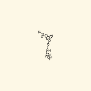 CN(C)CCOC(=O)c1ccc2c(c1)nc(OCCOCCCCNCc1cc(F)c(OC(F)(F)F)c(F)c1)c1ccncc12